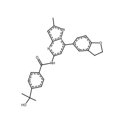 Cc1cc2nc(NC(=O)c3ccc(C(C)(C)O)cc3)cc(-c3ccc4c(c3)CCO4)n2n1